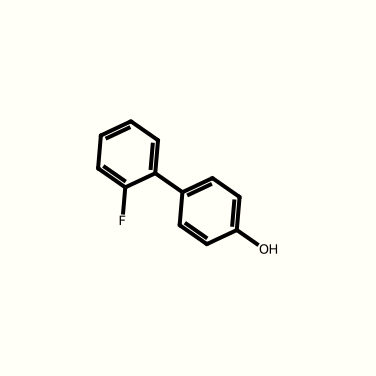 Oc1ccc(-c2ccccc2F)cc1